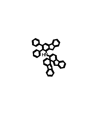 C1=CC2(C(Nc3c4c(cc(-c5ccccc5)c3-c3ccccc3)-c3ccccc3C4)=CC=C3C2=Cc2ccccc23)C2=Cc3ccccc3C2=C1